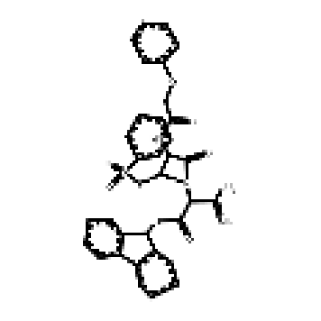 C=C(C)C(C(=O)OC1c2ccccc2-c2ccccc21)N1C(=O)C(NC(=O)COc2ccccc2)C1SS(=O)(=O)c1ccccc1